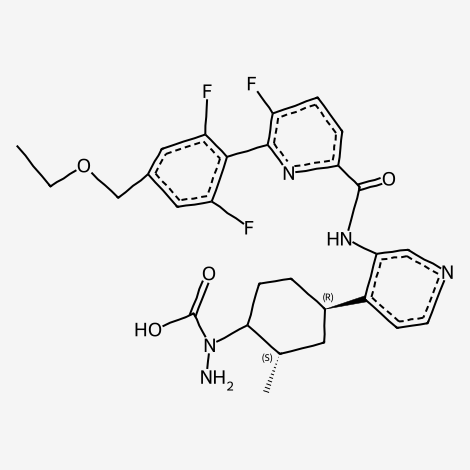 CCOCc1cc(F)c(-c2nc(C(=O)Nc3cnccc3[C@@H]3CCC(N(N)C(=O)O)[C@@H](C)C3)ccc2F)c(F)c1